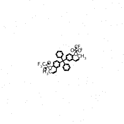 C/C=C\c1cc(C(c2ccccc2)(c2ccccc2)c2ccc(OS(=O)(=O)C(F)(F)F)c(/C=C\C)c2)ccc1OS(=O)(=O)C(F)(F)F